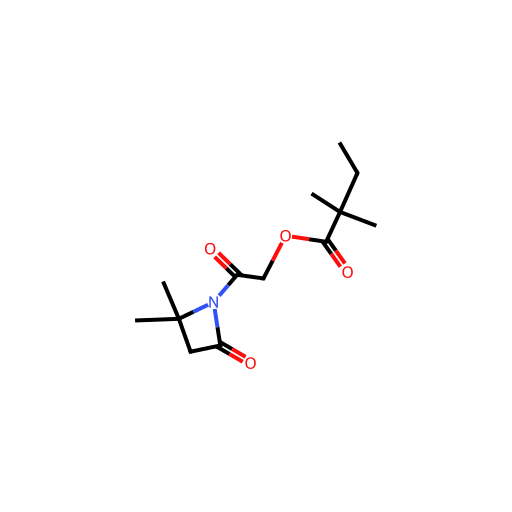 CCC(C)(C)C(=O)OCC(=O)N1C(=O)CC1(C)C